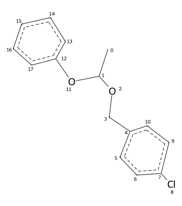 CC(OCc1ccc(Cl)cc1)Oc1ccccc1